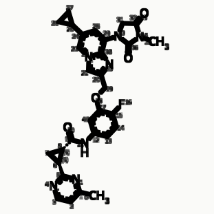 Cc1ccnc([C@H]2C[C@@H]2C(=O)Nc2ccc(F)c(OCc3cn4cc(C5CC5)cc(N5CC(=O)N(C)C5=O)c4n3)c2)n1